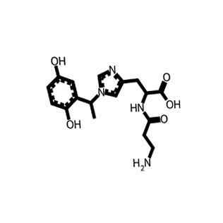 CC(c1cc(O)ccc1O)n1cnc(CC(NC(=O)CCN)C(=O)O)c1